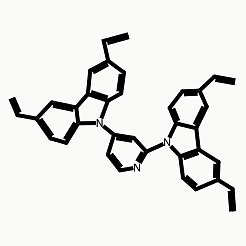 C=Cc1ccc2c(c1)c1cc(C=C)ccc1n2-c1ccnc(-n2c3ccc(C=C)cc3c3cc(C=C)ccc32)c1